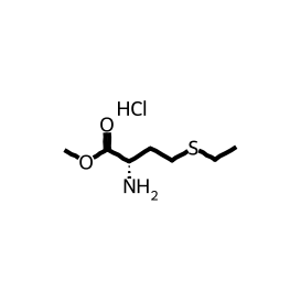 CCSCC[C@H](N)C(=O)OC.Cl